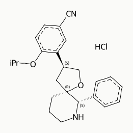 CC(C)Oc1ccc(C#N)cc1[C@H]1CO[C@]2(CCCN[C@H]2c2ccccc2)C1.Cl